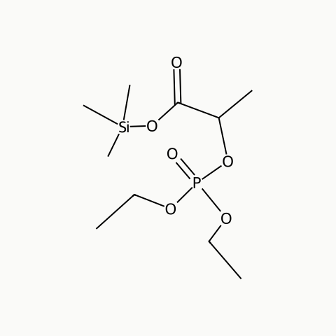 CCOP(=O)(OCC)OC(C)C(=O)O[Si](C)(C)C